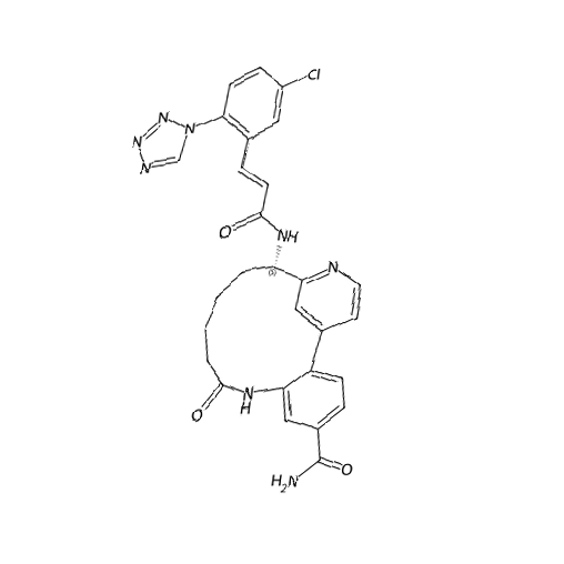 NC(=O)c1ccc2c(c1)NC(=O)CCCC[C@H](NC(=O)C=Cc1cc(Cl)ccc1-n1cnnn1)c1cc-2ccn1